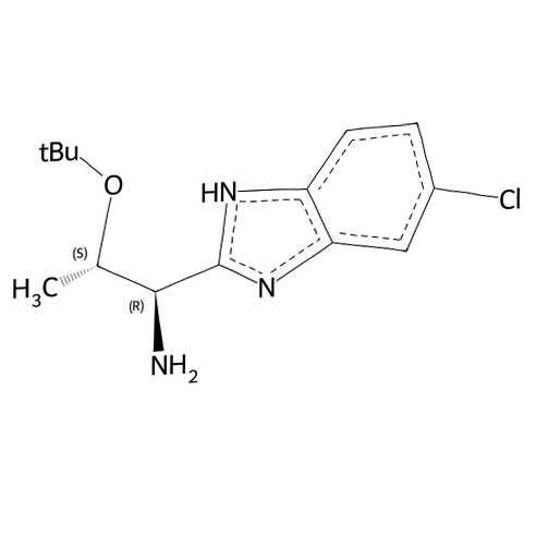 C[C@H](OC(C)(C)C)[C@H](N)c1nc2cc(Cl)ccc2[nH]1